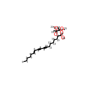 CCCCCC=CC#CC#CCCCCCC1OC(C)(OC)C(C)(OC)OC1=O